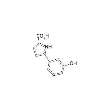 O=C(O)c1ccc(-c2cccc(O)c2)[nH]1